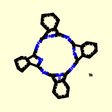 [Th].c1ccc2c(c1)-c1nc-2nc2[nH]c(nc3nc(nc4[nH]c(n1)c1ccccc41)-c1ccccc1-3)c1ccccc21